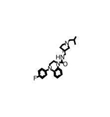 CC(C)CN1CC[C@H](CNC(=O)N2CCN(c3ccc(F)cc3)c3ccccc32)C1